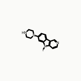 In1c2ccncc2c2ccc(N3CCNCC3)cc21